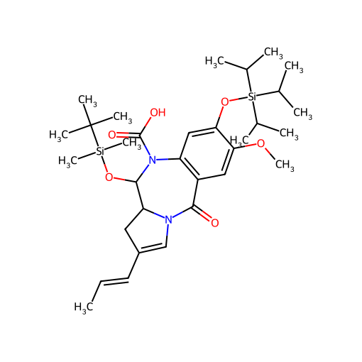 CC=CC1=CN2C(=O)c3cc(OC)c(O[Si](C(C)C)(C(C)C)C(C)C)cc3N(C(=O)O)C(O[Si](C)(C)C(C)(C)C)C2C1